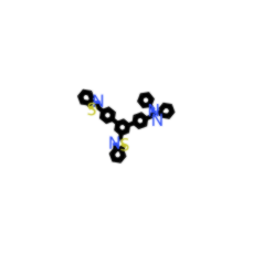 c1ccc(-n2c(-c3ccc(-c4cc(-c5ccc(-c6nc7ccccc7s6)cc5)cc(-c5nc6ccccc6s5)c4)cc3)nc3ccccc32)cc1